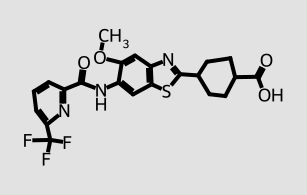 COc1cc2nc(C3CCC(C(=O)O)CC3)sc2cc1NC(=O)c1cccc(C(F)(F)F)n1